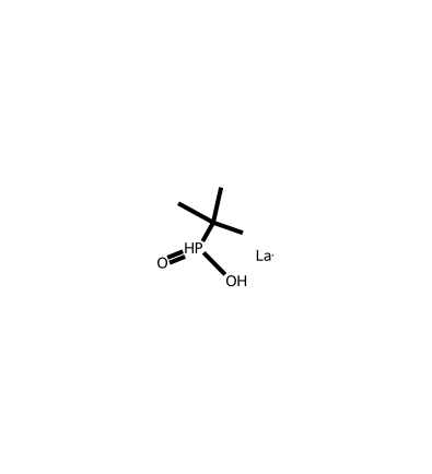 CC(C)(C)[PH](=O)O.[La]